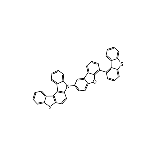 c1ccc2c(c1)sc1cccc(-c3cccc4c3oc3ccc(-n5c6ccccc6c6c7c(ccc65)sc5ccccc57)cc34)c12